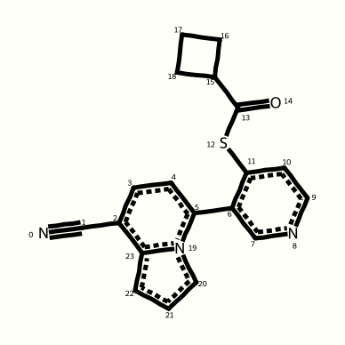 N#Cc1ccc(-c2cnccc2SC(=O)C2CCC2)n2cccc12